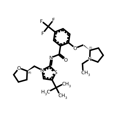 CCN1CCC[C@H]1COc1ccc(C(F)(F)F)cc1C(=O)N=c1sc(C(C)(C)C)cn1C[C@H]1CCCO1